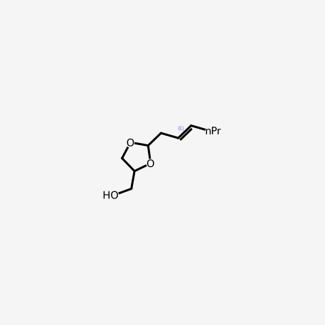 CCC/C=C/CC1OCC(CO)O1